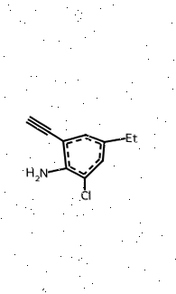 C#Cc1cc(CC)cc(Cl)c1N